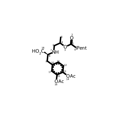 CCCC(C)C(=O)OC(C)CN[C@@H](Cc1ccc(OC(C)=O)c(OC(C)=O)c1)C(=O)O